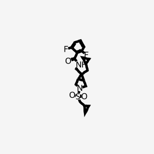 O=C(NCC1(CC2CC2)C2CN(S(=O)(=O)CC3CC3)CC21)c1c(F)cccc1F